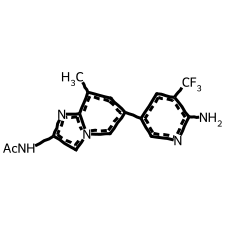 CC(=O)Nc1cn2cc(-c3cnc(N)c(C(F)(F)F)c3)cc(C)c2n1